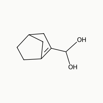 OC(O)C1=C2CCC(C2)C1